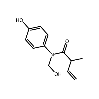 C=CC(C)C(=O)N(CO)c1ccc(O)cc1